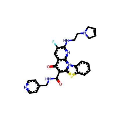 O=C(NCc1ccncc1)c1c(=O)c2cc(F)c(NCCN3CC=CC3)nc2n2c1sc1ccccc12